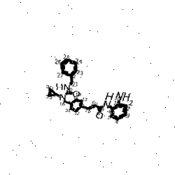 Nc1ccccc1NC(=O)/C=C/c1ccc(CN(C(=O)NCc2ccccc2)C2CC2)cc1